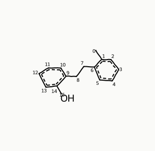 Cc1ccccc1CCc1ccccc1O